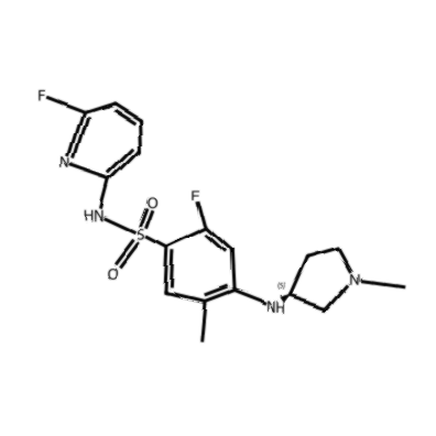 Cc1cc(S(=O)(=O)Nc2cccc(F)n2)c(F)cc1N[C@H]1CCN(C)C1